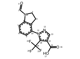 O=CN1CCc2c1cccc2-n1ncc(C(=O)O)c1C(F)(F)F